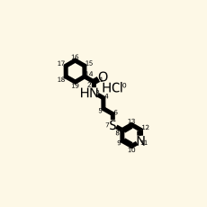 Cl.O=C(NCCCSc1ccncc1)C1CCCCC1